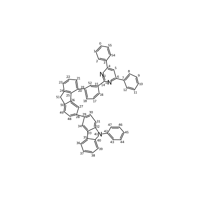 c1ccc(-c2cc(-c3ccccc3)nc(-c3cccc(-c4cccc5c4-c4cc(-c6ccc7c(c6)c6ccccc6n7-c6ccccc6)ccc4C5)c3)n2)cc1